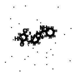 N[C@H](c1cn2nc(C[C@H]3C[C@@H](C(F)(F)F)CNC3=O)ccc2n1)C1CCCCCC1